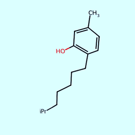 Cc1ccc(CCCCCC(C)C)c(O)c1